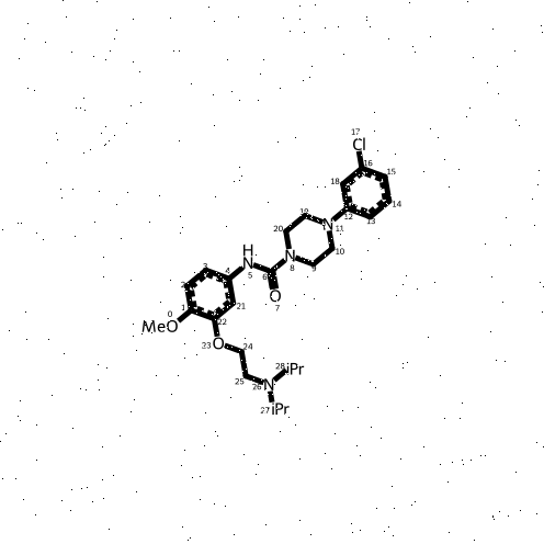 COc1ccc(NC(=O)N2CCN(c3cccc(Cl)c3)CC2)cc1OCCN(C(C)C)C(C)C